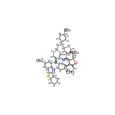 Cc1cc2c3c(c1)-n1c4c(cc(C(C)(C)C)cc4c4sc5ccccc5c41)B3C1=CCC(CC(c3ccc(C(C)(C)C)cc3)C3C=CC(C(C)(C)C)=CC3)C=C1N2C1=c2c(oc3c2=CCCC=3)=CCC1